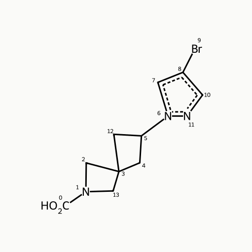 O=C(O)N1CC2(CC(n3cc(Br)cn3)C2)C1